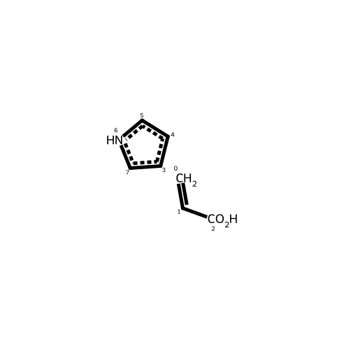 C=CC(=O)O.c1cc[nH]c1